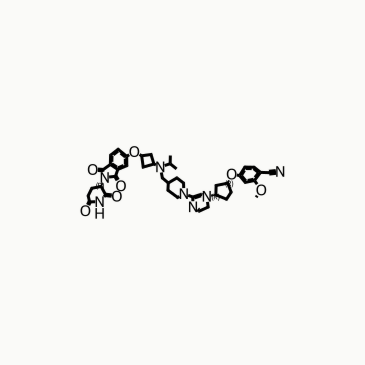 COc1cc(O[C@@H]2CC[C@@H](N3C=C(N4CCC(CN(C(C)C)C5CC(Oc6ccc7c(c6)C(=O)N([C@@H]6CCC(=O)NC6=O)C7=O)C5)CC4)N=CC3)C2)ccc1C#N